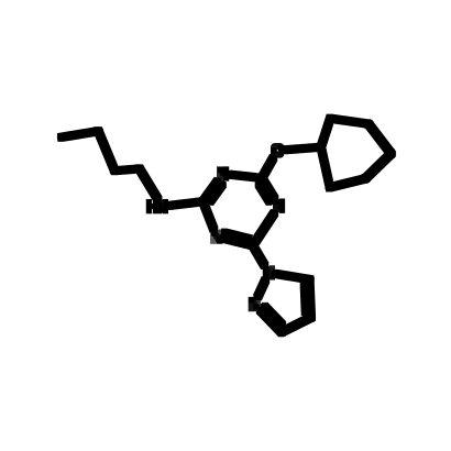 CCCCNc1nc(OC2CCCCC2)nc(-n2cccn2)n1